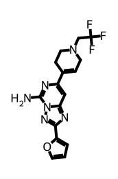 Nc1nc(C2=CCN(CC(F)(F)F)CC2)cc2nc(-c3ccco3)nn12